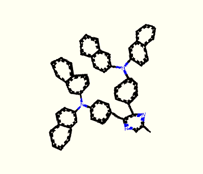 Cc1cnc(-c2ccc(N(c3ccc4ccccc4c3)c3ccc4ccccc4c3)cc2)c(-c2ccc(N(c3ccc4ccccc4c3)c3ccc4ccccc4c3)cc2)n1